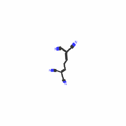 N#CC(=[C]CC=C(C#N)C#N)C#N